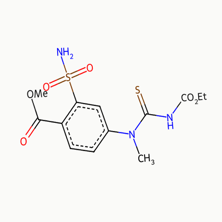 CCOC(=O)NC(=S)N(C)c1ccc(C(=O)OC)c(S(N)(=O)=O)c1